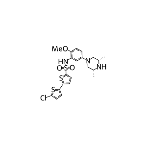 COc1ccc(N2C[C@@H](C)N[C@@H](C)C2)cc1NS(=O)(=O)c1ccc(-c2ccc(Cl)s2)s1